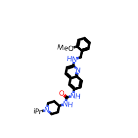 COc1ccccc1CNc1ccc2cc(NC(=O)NC3CCN(C(C)C)CC3)ccc2n1